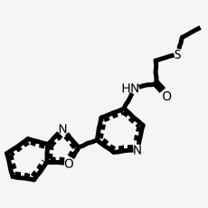 CCSCC(=O)Nc1cncc(-c2nc3ccccc3o2)c1